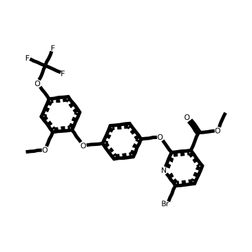 COC(=O)c1ccc(Br)nc1Oc1ccc(Oc2ccc(OC(F)(F)F)cc2OC)cc1